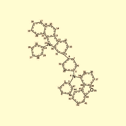 c1ccc(N(c2ccc(-c3ccc4c5ccc6ccccc6c5n(-c5ccccc5)c4c3)cc2)c2cccc3oc4ccccc4c23)cc1